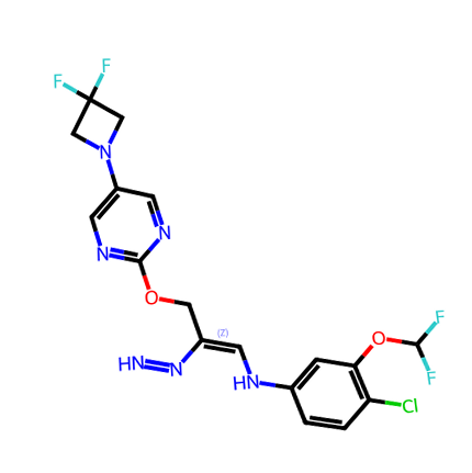 N=N/C(=C\Nc1ccc(Cl)c(OC(F)F)c1)COc1ncc(N2CC(F)(F)C2)cn1